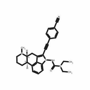 CCN(CC)C(=O)Nn1c(C#Cc2ccc(C#N)cc2)c2c3c(cccc31)[C@H]1CCCN(C)[C@@H]1C2